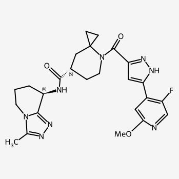 COc1cc(-c2cc(C(=O)N3CC[C@H](C(=O)N[C@@H]4CCCn5c(C)nnc54)CC34CC4)n[nH]2)c(F)cn1